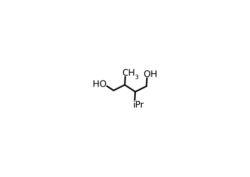 CC(C)C(CO)C(C)CO